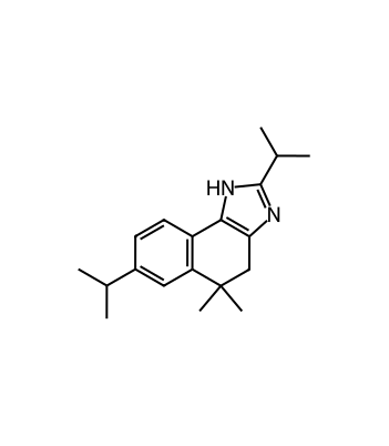 CC(C)c1ccc2c(c1)C(C)(C)Cc1nc(C(C)C)[nH]c1-2